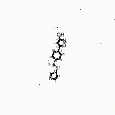 C[C@@H](Sn1ccnc1)c1ccc(-c2cc(O)no2)cc1